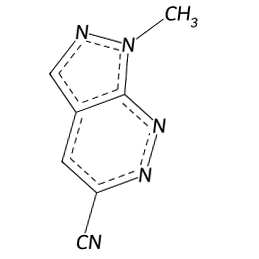 Cn1ncc2cc(C#N)nnc21